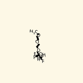 COCCOCCOCC(O)(C(F)(F)F)C(F)(F)F